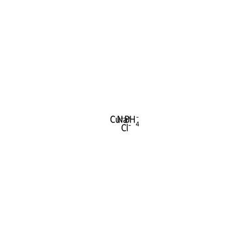 [BH4-].[Cl-].[Cu+].[Na+]